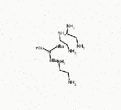 CCCCN(CCCC)CCCC.NCCN.NCCN.NCCN